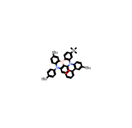 Cc1cc2c3c(c1)N(c1ccc(C(C)(C)C)cc1-c1ccccc1)c1cc([Si](C)(C)C)ccc1B3c1cc(C(C)(C)C)ccc1N2c1ccc(C(C)(C)C)cc1